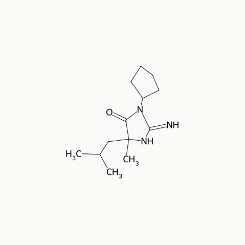 CC(C)CC1(C)NC(=N)N(C2CCCC2)C1=O